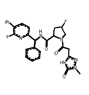 CC(C)c1ccc(C(NC(=O)C2CC(F)CN2C(=O)Cc2nn(C)c(=O)[nH]2)c2ccccc2)nc1F